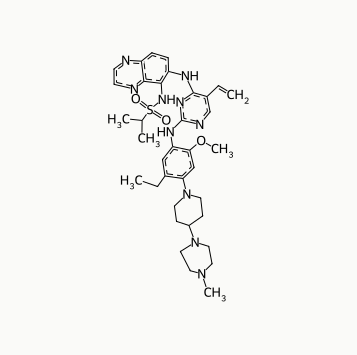 C=Cc1cnc(Nc2cc(CC)c(N3CCC(N4CCN(C)CC4)CC3)cc2OC)nc1Nc1ccc2nccnc2c1NS(=O)(=O)C(C)C